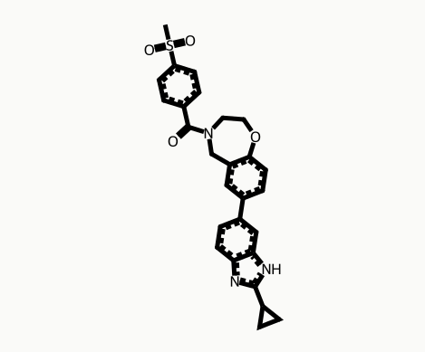 CS(=O)(=O)c1ccc(C(=O)N2CCOc3ccc(-c4ccc5nc(C6CC6)[nH]c5c4)cc3C2)cc1